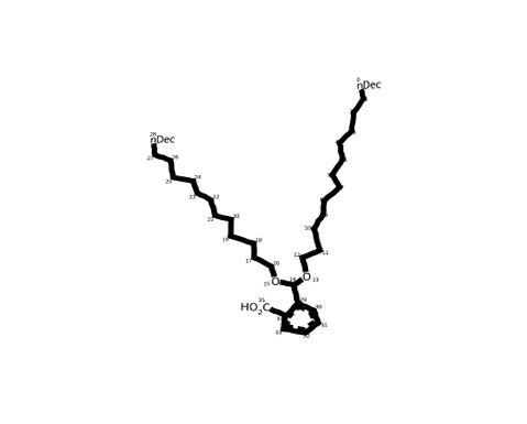 CCCCCCCCCCCCCCCCCCCCCCOC(OCCCCCCCCCCCCCCCCCCCCCC)c1ccccc1C(=O)O